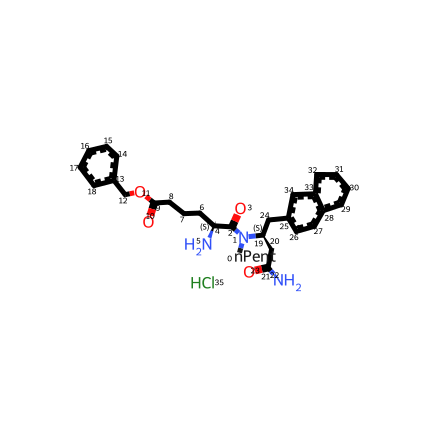 CCCCCN(C(=O)[C@@H](N)CCCC(=O)OCc1ccccc1)[C@H](CC(N)=O)Cc1ccc2ccccc2c1.Cl